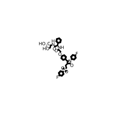 O=C(COc1ccc(C2C(CCS(=O)(=O)c3ccc(F)cc3)C(=O)N2c2ccc(F)cc2)cc1)N[C@@H](C(=O)N[C@@H](CO)C(=O)O)c1ccccc1